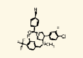 CN(Cc1ccc(C(F)(F)F)c(F)c1)C1CN(C(=O)c2ccc(C#N)cc2)CC1c1ccc(Cl)c(F)c1